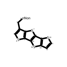 CCCCCCCCCCc1csc2c1sc1c3sccc3sc21